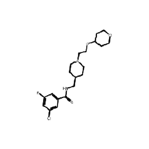 O=C(NCC1CCN(CCOC2CCOCC2)CC1)c1cc(F)cc(Cl)c1